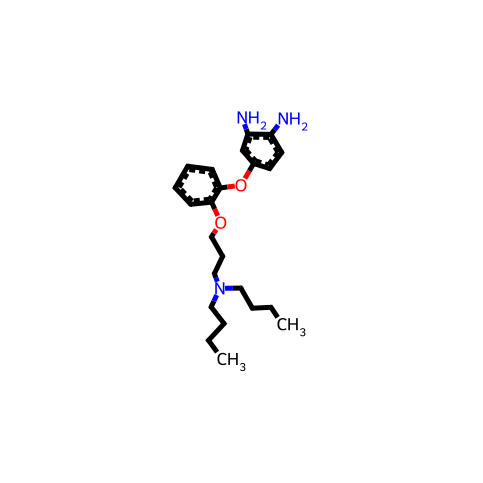 CCCCN(CCCC)CCCOc1ccccc1Oc1ccc(N)c(N)c1